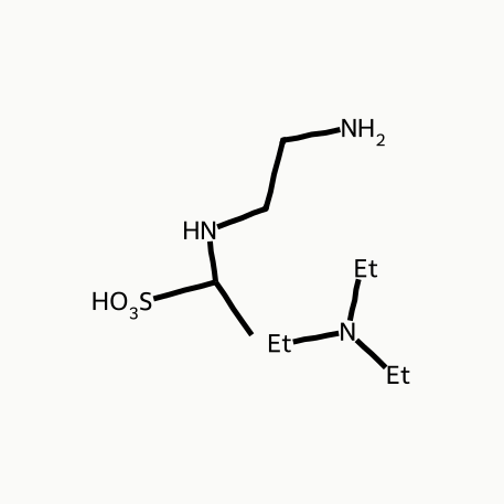 CC(NCCN)S(=O)(=O)O.CCN(CC)CC